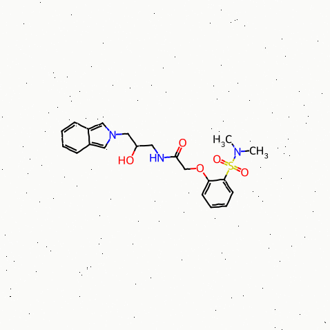 CN(C)S(=O)(=O)c1ccccc1OCC(=O)NCC(O)Cn1cc2ccccc2c1